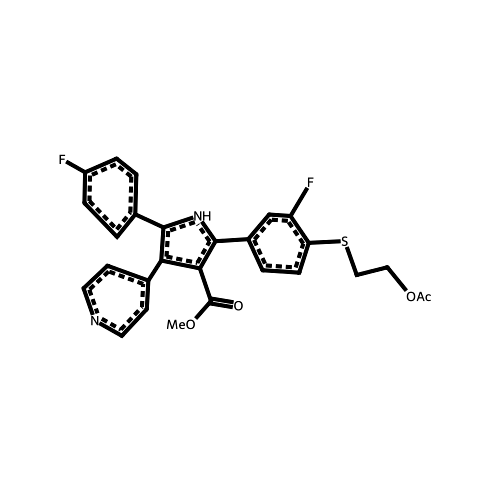 COC(=O)c1c(-c2ccc(SCCOC(C)=O)c(F)c2)[nH]c(-c2ccc(F)cc2)c1-c1ccncc1